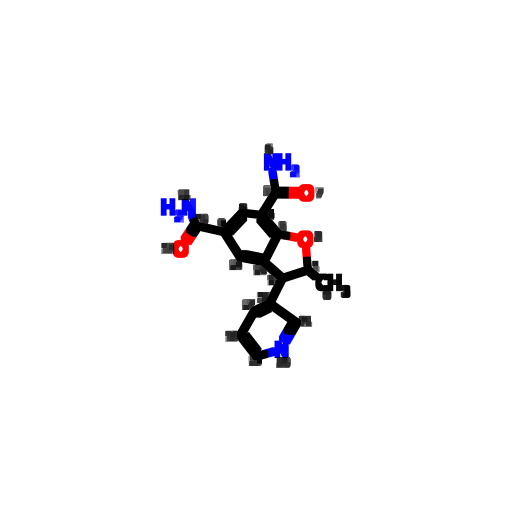 CC1Oc2c(C(N)=O)cc(C(N)=O)cc2C1c1cccnc1